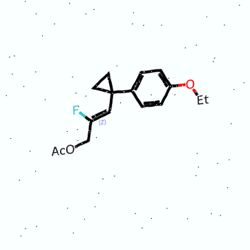 CCOc1ccc(C2(/C=C(\F)COC(C)=O)CC2)cc1